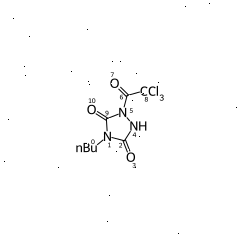 CCCCn1c(=O)[nH]n(C(=O)C(Cl)(Cl)Cl)c1=O